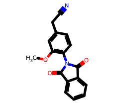 COc1cc(CC#N)ccc1N1C(=O)c2ccccc2C1=O